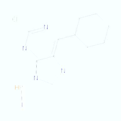 Clc1nc(C2CCCCC2)c2ncn(PI)c2n1